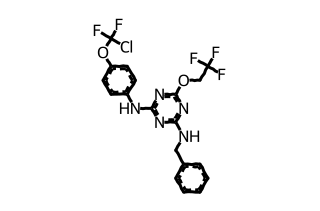 FC(F)(F)COc1nc(NCc2ccccc2)nc(Nc2ccc(OC(F)(F)Cl)cc2)n1